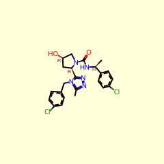 Cc1nnc([C@H]2C[C@@H](O)CN2C(=O)N[C@@H](C)c2ccc(Cl)cc2)n1Cc1ccc(Cl)cc1